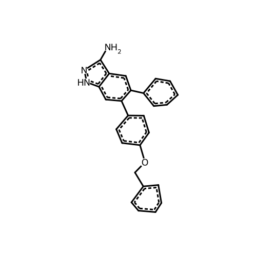 Nc1n[nH]c2cc(-c3ccc(OCc4ccccc4)cc3)c(-c3ccccc3)cc12